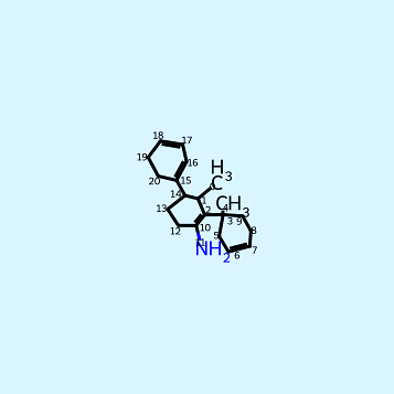 CC1C(C2(C)CC=CCC2)=C(N)CCC1C1=CC=CCC1